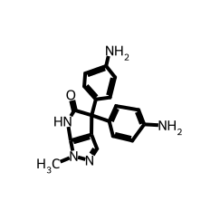 Cn1ncc2c1NC(=O)C2(c1ccc(N)cc1)c1ccc(N)cc1